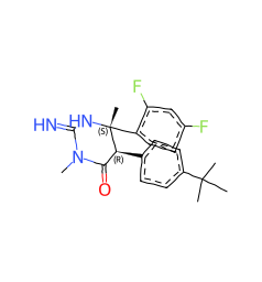 CN1C(=N)N[C@](C)(c2ccc(F)cc2F)[C@@H](c2ccc(C(C)(C)C)cc2)C1=O